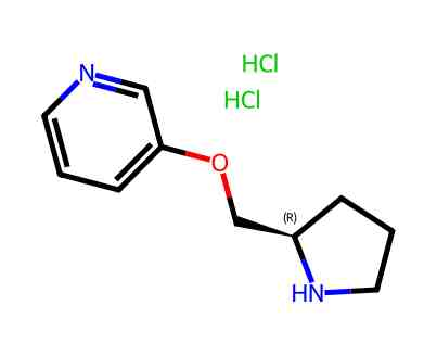 Cl.Cl.c1cncc(OC[C@H]2CCCN2)c1